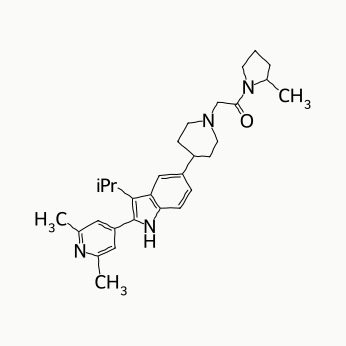 Cc1cc(-c2[nH]c3ccc(C4CCN(CC(=O)N5CCCC5C)CC4)cc3c2C(C)C)cc(C)n1